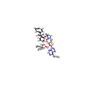 CC[C@H]1O[C@@H](n2cnc3c(NC(C)=O)ncnc32)C(OCO[Si](C(C)C)(C(C)C)C(C)C)[C@H]1O[P@]1O[C@@H](C[Si](C)(c2ccccc2)c2ccccc2)[C@H]2CCCN21